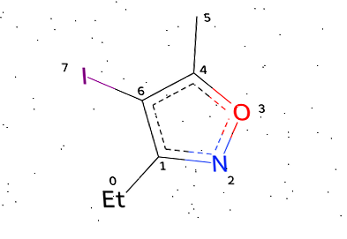 CCc1noc(C)c1I